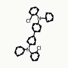 Clc1ccccc1N(c1ccccc1)c1ccc(-c2ccc(N(c3ccccc3)c3ccccc3Cl)cc2)cc1